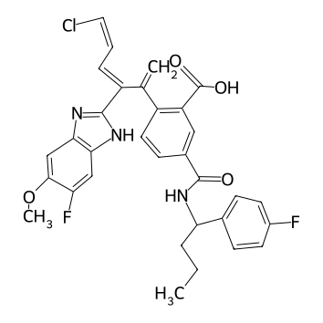 C=C(/C(=C\C=C/Cl)c1nc2cc(OC)c(F)cc2[nH]1)c1ccc(C(=O)NC(CCC)c2ccc(F)cc2)cc1C(=O)O